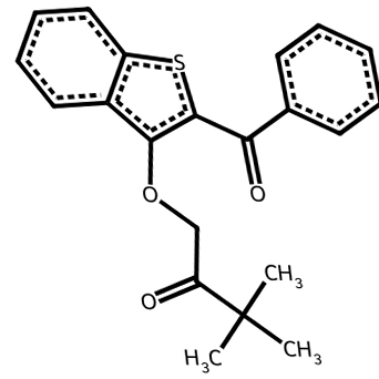 CC(C)(C)C(=O)COc1c(C(=O)c2ccccc2)sc2ccccc12